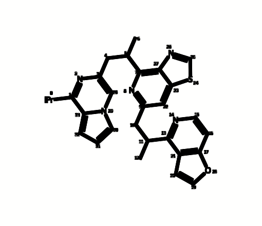 CC(C)c1nc(CC(C)c2nc(CC(C)c3nccc4occc34)cc3scnc23)cn2cccc12